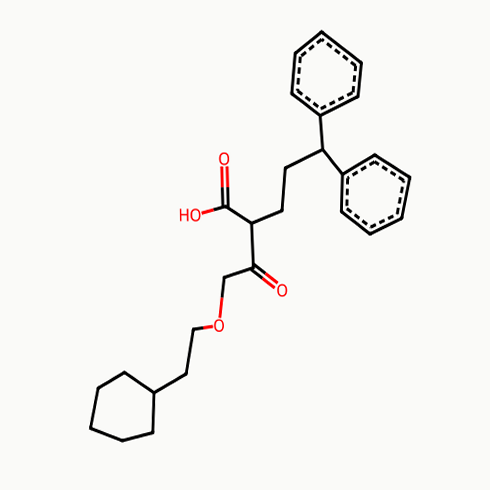 O=C(O)C(CCC(c1ccccc1)c1ccccc1)C(=O)COCCC1CCCCC1